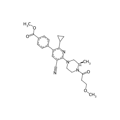 COCCC(=O)N1CCN(c2nc(C3CC3)c(-c3ccc(C(=O)OC)cc3)cc2C#N)C[C@H]1C